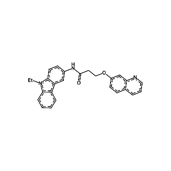 CCn1c2ccccc2c2cc(NC(=O)CCOc3ccc4cccnc4c3)ccc21